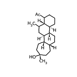 CC(=O)C1CCC[C@@H]2[C@@H]1C(C)C[C@H]1[C@H]2CC[C@@H]2CC[C@](C)(O)CC[C@@H]21